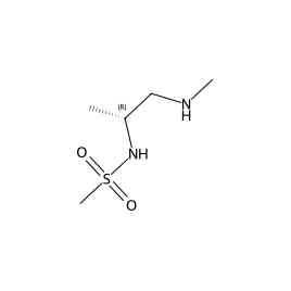 CNC[C@@H](C)NS(C)(=O)=O